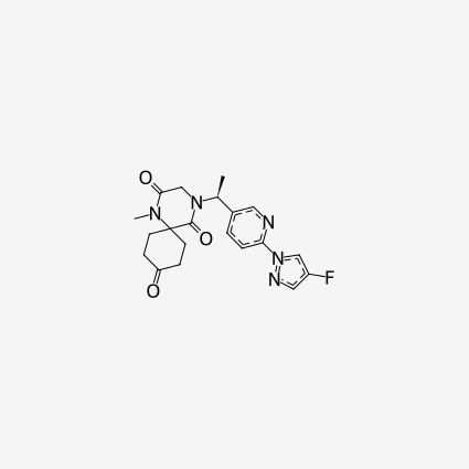 C[C@@H](c1ccc(-n2cc(F)cn2)nc1)N1CC(=O)N(C)C2(CCC(=O)CC2)C1=O